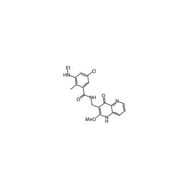 CCNc1cc(Cl)cc(C(=O)NCc2c(OC)[nH]c3cccnc3c2=O)c1C